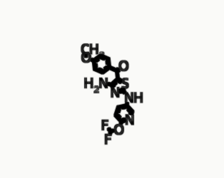 COc1ccc(C(=O)c2sc(Nc3ccc(OC(F)F)nc3)nc2N)cc1